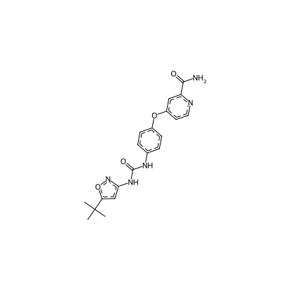 CC(C)(C)c1cc(NC(=O)Nc2ccc(Oc3ccnc(C(N)=O)c3)cc2)no1